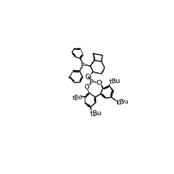 CC(C)(C)c1cc(C(C)(C)C)c2op(OC3CCC4CCC4C3P(c3ccccc3)c3ccccc3)oc3c(C(C)(C)C)cc(C(C)(C)C)cc3c2c1